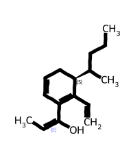 C=CC1=C(/C(O)=C\C)C=CC[C@H]1C(C)CCC